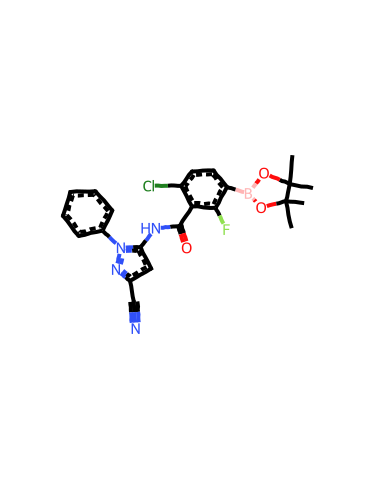 CC1(C)OB(c2ccc(Cl)c(C(=O)Nc3cc(C#N)nn3-c3ccccc3)c2F)OC1(C)C